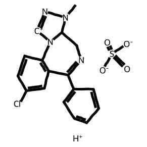 CN1N=[C+]N2c3ccc(Cl)cc3C(c3ccccc3)=NCC12.O=S(=O)([O-])[O-].[H+]